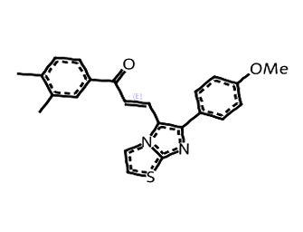 COc1ccc(-c2nc3sccn3c2/C=C/C(=O)c2ccc(C)c(C)c2)cc1